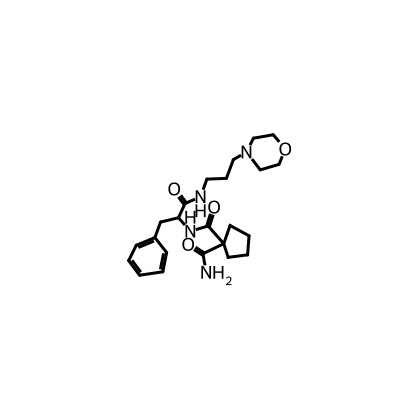 NC(=O)C1(C(=O)NC(Cc2ccccc2)C(=O)NCCCN2CCOCC2)CCCC1